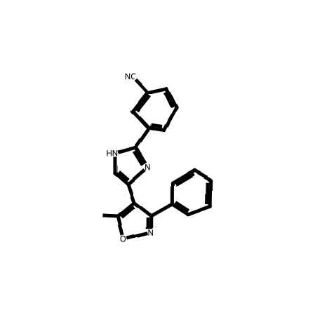 Cc1onc(-c2ccccc2)c1-c1c[nH]c(-c2cccc(C#N)c2)n1